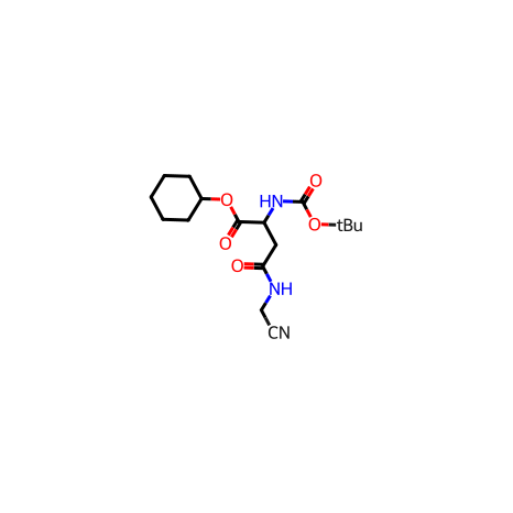 CC(C)(C)OC(=O)NC(CC(=O)NCC#N)C(=O)OC1CCCCC1